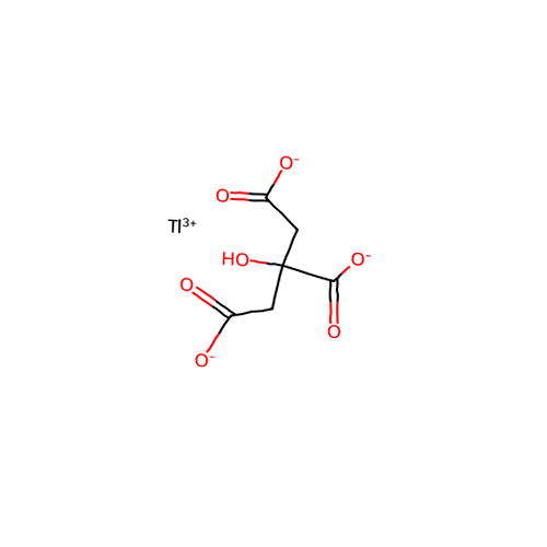 O=C([O-])CC(O)(CC(=O)[O-])C(=O)[O-].[Tl+3]